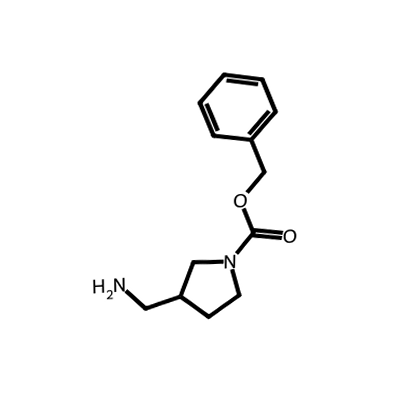 NCC1CCN(C(=O)OCc2ccccc2)C1